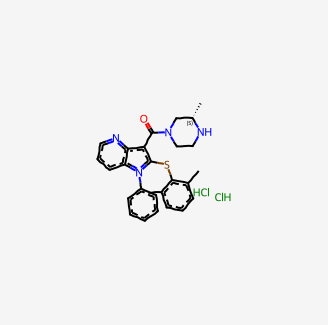 Cc1cccc(C)c1Sc1c(C(=O)N2CCN[C@@H](C)C2)c2ncccc2n1-c1ccccc1.Cl.Cl